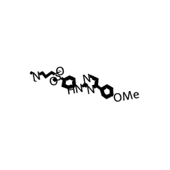 COc1ccc(-c2ccnc(Nc3ccc(S(=O)(=O)CCCN(C)C)cc3)n2)cc1